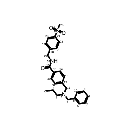 CCCN(Cc1ccccc1)Cc1ccc(C(=O)NCc2ccc(S(C)(=O)=O)cc2)cc1